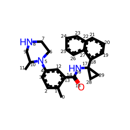 Cc1ccc(N2CCNCC2C)cc1C(=O)NC1(c2cccc3ccccc23)CC1